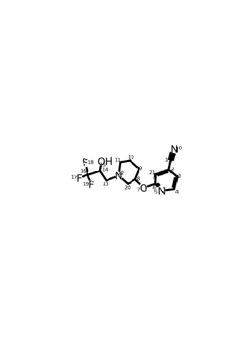 N#Cc1ccnc(OC2CCCN(CC(O)C(F)(F)F)C2)c1